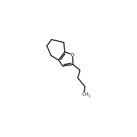 CCCCc1cc2c(o1)CCCC2